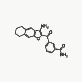 NC(=O)c1cccc(C(=O)c2oc3cc4c(cc3c2N)CCCC4)c1